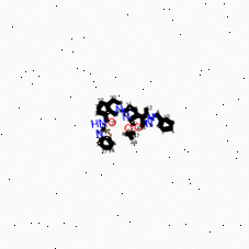 Cc1nn(Cc2ccccc2)c(C)c1-c1ccc(N2CCc3cccc(C(=O)Nc4nc5ccccc5s4)c3C2)nc1C(=O)OC(C)(C)C